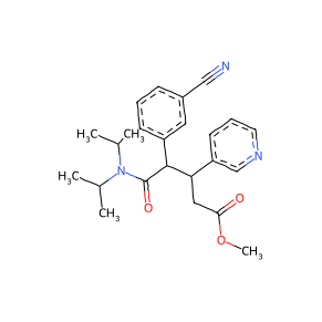 COC(=O)CC(c1cccnc1)C(C(=O)N(C(C)C)C(C)C)c1cccc(C#N)c1